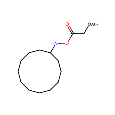 COCC(=O)ONC1CCCCCCCCCCC1